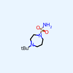 CC(C)(C)N1CCCN(S(N)(=O)=O)CC1